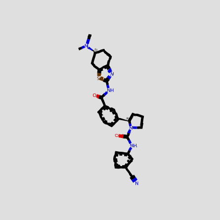 CN(C)[C@H]1CCc2nc(NC(=O)c3cccc([C@H]4CCCN4C(=O)Nc4cccc(C#N)c4)c3)sc2C1